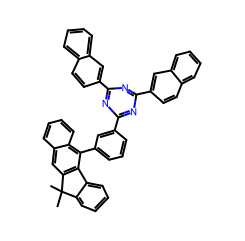 CC1(C)c2ccccc2-c2c1cc1ccccc1c2-c1cccc(-c2nc(-c3ccc4ccccc4c3)nc(-c3ccc4ccccc4c3)n2)c1